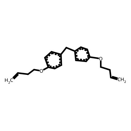 C=CCCOc1ccc(Cc2ccc(OCCC=C)cc2)cc1